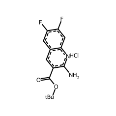 CC(C)(C)OC(=O)c1cc2cc(F)c(F)cc2nc1N.Cl